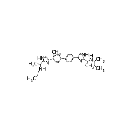 CCCN[C@@H](C)c1nc(-c2ccc(-c3ccc(-c4c[nH]c([C@H](C)N[C@@H](C)CC)n4)cc3)cc2C)c[nH]1